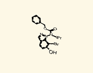 CC(C)N(C(=O)OCc1ccccc1)n1ncc2ccc(O)c(Br)c21